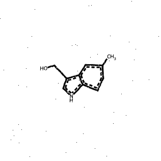 Cc1ccc2[nH]cc(CO)c2c1